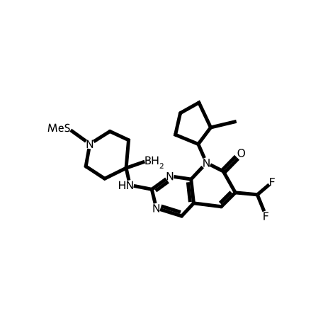 BC1(Nc2ncc3cc(C(F)F)c(=O)n(C4CCCC4C)c3n2)CCN(SC)CC1